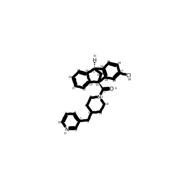 O=C(N1CCC(Cc2cccnc2)CC1)[C@]12C[C@@H](c3ccccc31)c1ccc(Cl)cc12